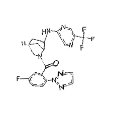 O=C(c1cc(F)ccc1-n1nccn1)N1C[C@H]2CC(Nc3cnc(C(F)(F)F)cn3)C1C2